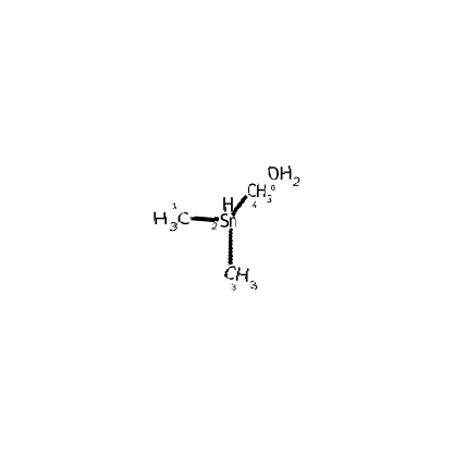 O.[CH3][SnH]([CH3])[CH3]